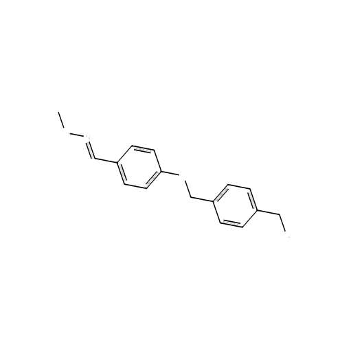 CON=[C]c1ccc(OCc2ccc(CBr)cc2)cc1